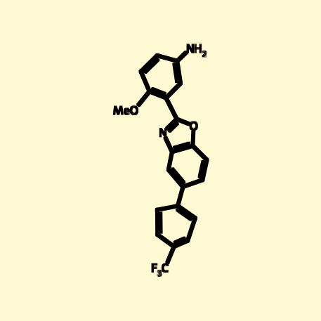 COc1ccc(N)cc1-c1nc2cc(-c3ccc(C(F)(F)F)cc3)ccc2o1